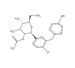 CC[C@H]1O[C@@H](c2ccc(Cl)c(Cc3ccc(O)cc3)c2)C(OC(C)=O)C(C)[C@@H]1C